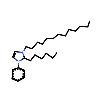 CCCCCCCCCCCCCN1C=CN(c2ccccc2)C1CCCCCC